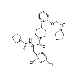 C[C@H](COc1cccnc1C1CCN(C(=O)[C@@H](Cc2ccc(Cl)cc2Cl)NC(=O)N2CCCC2)CC1)N1CCCC1